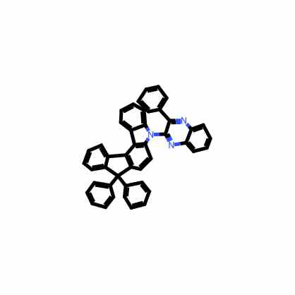 c1ccc(-c2nc3ccccc3nc2-n2c3ccccc3c3c4c(ccc32)C(c2ccccc2)(c2ccccc2)c2ccccc2-4)cc1